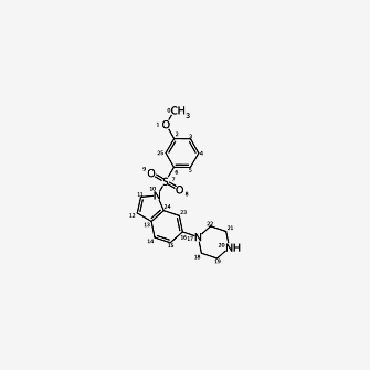 COc1cccc(S(=O)(=O)n2ccc3ccc(N4CCNCC4)cc32)c1